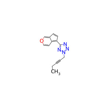 CCC#CCn1nnc(-c2ccc3coccc2-3)n1